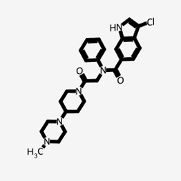 CN1CCN(C2CCN(C(=O)CN(C(=O)c3ccc4c(Cl)c[nH]c4c3)c3ccccc3)CC2)CC1